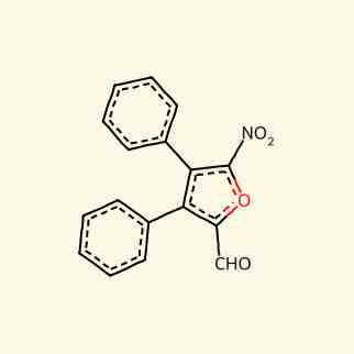 O=Cc1oc([N+](=O)[O-])c(-c2ccccc2)c1-c1ccccc1